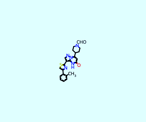 Cc1ccccc1-c1csc(-c2cnn3c(C4CCN(C=O)CC4)cc(=O)[nH]c23)n1